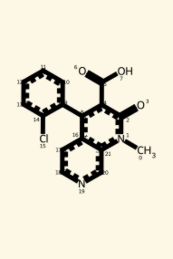 Cn1c(=O)c(C(=O)O)c(-c2ccccc2Cl)c2ccncc21